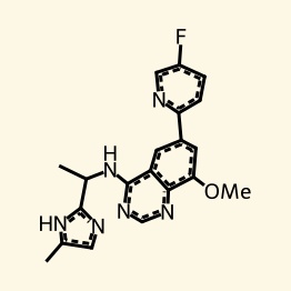 COc1cc(-c2ccc(F)cn2)cc2c(NC(C)c3ncc(C)[nH]3)ncnc12